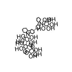 Oc1c(O)c(O)c(-n2c3ccccc3c3cc(-c4ccc5c(c4)c4ccccc4n5-c4c(O)c(O)c(-c5c(O)c(O)c6ooc7c(O)c(O)c(O)c8ooc5c6-c78)c(O)c4O)ccc32)c(O)c1O